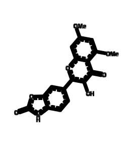 COc1cc(OC)c2c(=O)c(O)c(-c3ccc4[nH]c(=O)oc4c3)oc2c1